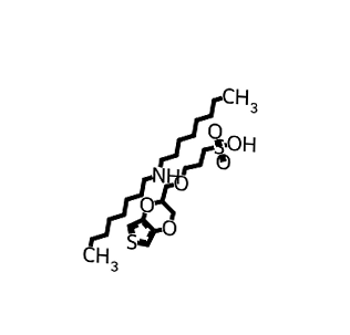 CCCCCCCCNCCCCCCCC.O=S(=O)(O)CCCOCC1COc2cscc2O1